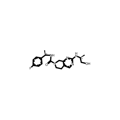 C[C@@H](CO)Nc1ncc2c(n1)CN(C(=O)N[C@H](C)c1ccc(F)cc1)CC2